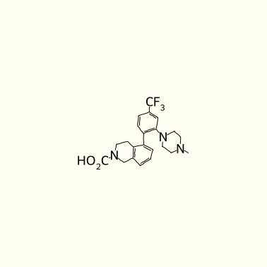 CN1CCN(c2cc(C(F)(F)F)ccc2-c2cccc3c2CCN(C(=O)O)C3)CC1